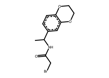 CC(NC(=O)CBr)c1ccc2c(c1)OCCO2